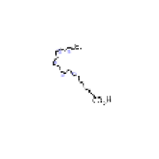 CC/C=C/C/C=C\C/C=C\C/C=C\C/C=C/CCCCCCCC(=O)O